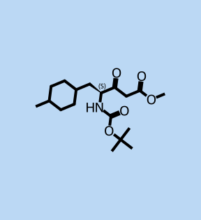 COC(=O)CC(=O)[C@H](CC1CCC(C)CC1)NC(=O)OC(C)(C)C